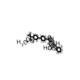 CCOC(=O)C1(c2ccc(-c3ccc(-c4onc(C)c4C[C@@H](O)S(=O)(=O)Cc4ccccc4)cc3)cc2)CC1